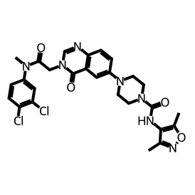 Cc1noc(C)c1NC(=O)N1CCN(c2ccc3ncn(CC(=O)N(C)c4ccc(Cl)c(Cl)c4)c(=O)c3c2)CC1